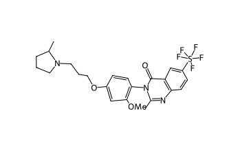 COc1cc(OCCCN2CCCC2C)ccc1-n1c(C)nc2ccc(S(F)(F)(F)(F)F)cc2c1=O